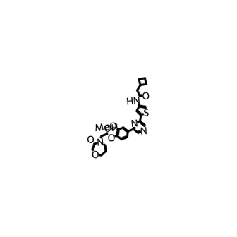 COc1cc(-c2cncc(-c3cc(NC(=O)CC4CCC4)cs3)n2)ccc1OC(O)CN1CCCOCC1=O